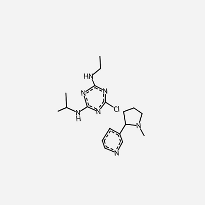 CCNc1nc(Cl)nc(NC(C)C)n1.CN1CCCC1c1cccnc1